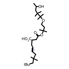 CC(O)CC(C)(C)C(C)(C)OCCC(C)(C)OC(=O)CC(C/C=C/CC(C)(C)CC(C)(C)C)C(=O)O